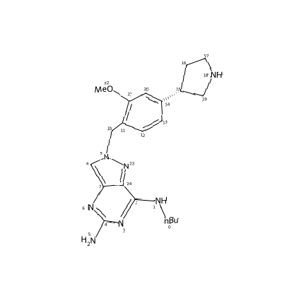 CCCCNc1nc(N)nc2cn(Cc3ccc([C@@H]4CCNC4)cc3OC)nc12